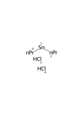 CC[CH2][Sn][CH2]CC.Cl.Cl